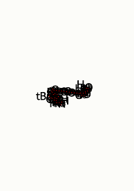 CC(C)(C)OC(=O)N1CCC(Nc2cccc(C(=O)NCc3cc(OCCCCCCOCCOCCOCCCCCC(=O)Nc4cccc5c4CN(C4CCC(=O)NC4=O)C5=O)ccc3F)c2)(c2nnc(-c3ccncc3)[nH]2)CC1